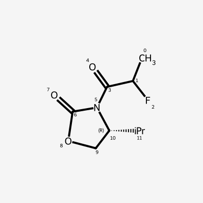 CC(F)C(=O)N1C(=O)OC[C@H]1C(C)C